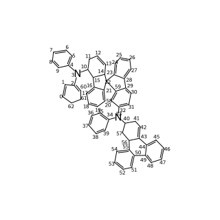 C1=CC(N(c2ccccc2)C2CC=CC3C2c2ccccc2C32c3ccccc3-c3ccc(N(c4ccccc4)C4CC=C5c6ccccc6-c6ccccc6C5C4)cc32)=CCC1